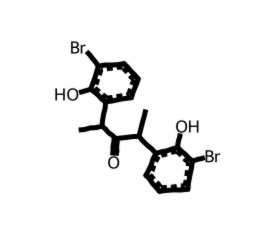 CC(C(=O)C(C)c1cccc(Br)c1O)c1cccc(Br)c1O